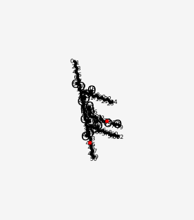 CCCCCCCCC(=O)OCC(COC(=O)CCCCCCCC)CC(=O)OCCN(CCOC(=O)CC(COC(=O)CCCCCCCC)COC(=O)CCCCCCCC)C(=O)N(C)CCCN(C)CCCOCCOC